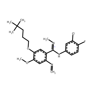 C=Nc1cc(OC)c(OCCCC(C)(C)C)cc1/C(=N\C)Nc1ccc(F)c(Cl)c1